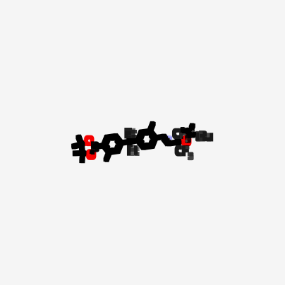 CCC(CC)(c1ccc(/C=C/C(O[Si](C)(C)C(C)(C)C)(C(F)(F)F)C(F)(F)F)c(C)c1)c1ccc(B2OC(C)(C)C(C)(C)O2)c(C)c1